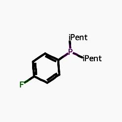 CCCC(C)P(c1ccc(F)cc1)C(C)CCC